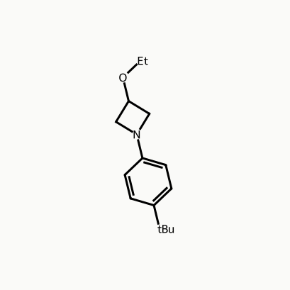 CCOC1CN(c2ccc(C(C)(C)C)cc2)C1